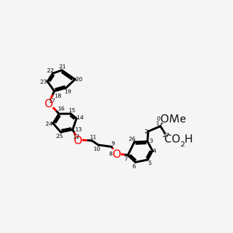 CO[C@@H](Cc1cccc(OCCCOc2ccc(Oc3ccccc3)cc2)c1)C(=O)O